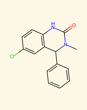 CN1C(=O)Nc2ccc(Cl)cc2C1c1ccccc1